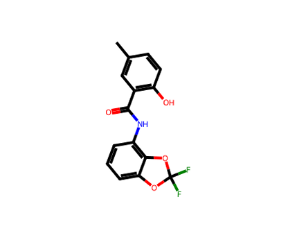 Cc1ccc(O)c(C(=O)Nc2cccc3c2OC(F)(F)O3)c1